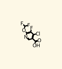 O=C(O)c1cnc(OC(F)F)c(F)c1Cl